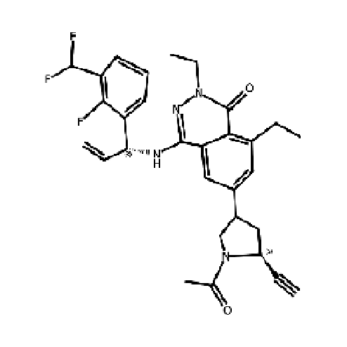 C#C[C@@H]1CC(c2cc(CC)c3c(=O)n(CC)nc(N[C@H](C=C)c4cccc(C(F)F)c4F)c3c2)CN1C(C)=O